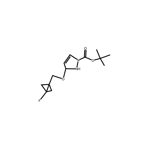 CC(C)(C)OC(=O)N1C=CC(OCC23CC2(F)C3)N1